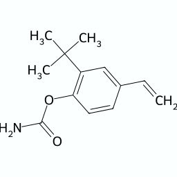 C=Cc1ccc(OC(N)=O)c(C(C)(C)C)c1